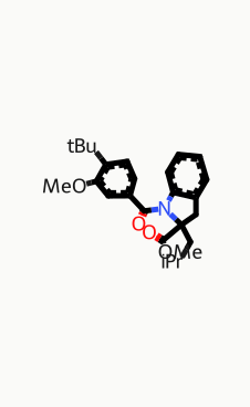 COC(=O)C1(CC(C)C)Cc2ccccc2N1C(=O)c1ccc(C(C)(C)C)c(OC)c1